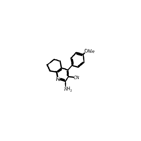 COc1ccc(-c2c(C#N)c(N)nc3c2CCCC3)cc1